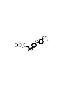 CCOC(=O)C=CC(C)Oc1ccc(Oc2cccc(C(F)(F)F)c2)cc1